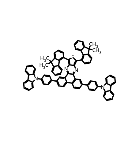 CC1(C)c2ccccc2-c2c(-c3sc(-c4cccc5c4-c4ccccc4C5(C)C)c4nc5c6cc(-c7ccc(-n8c9ccccc9c9ccccc98)cc7)ccc6c6ccc(-c7ccc(-n8c9ccccc9c9ccccc98)cc7)cc6c5nc34)cccc21